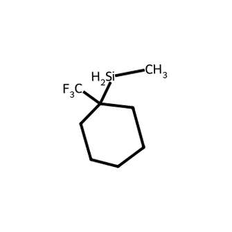 C[SiH2]C1(C(F)(F)F)CCCCC1